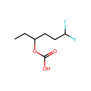 CCC(CCC(F)F)OC(=O)O